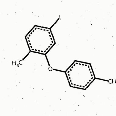 Cc1ccc(Oc2cc(I)ccc2C)cc1